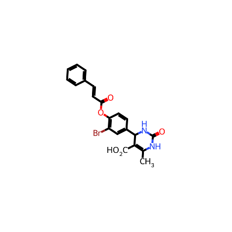 CC1=C(C(=O)O)C(c2ccc(OC(=O)C=Cc3ccccc3)c(Br)c2)NC(=O)N1